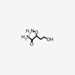 NOC(CCO)C(N)=O